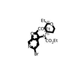 CCOC(=O)c1oc2cnc(Br)cc2c1N(C(=O)OCC)[C@H]1CCO[C@@H](CC)C1